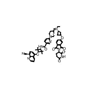 CCN(CC1CCN(c2ccc(C(=O)N[C@H]3C(C)(C)[C@H](Oc4ccc(C#N)c5ncccc45)C3(C)C)cn2)CC1)[C@H]1C[C@H](Oc2ccc3c(c2)C(=O)N(C2CCC(=O)NC2=O)C3=O)C1